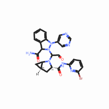 NC(=O)C1c2ccccc2N(c2cncnc2)N1C(C=O)N1C2C[C@@H]2C[C@H]1C(=O)Nc1cccc(Br)n1